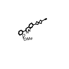 C#CC1CC2(C1)CC(c1ccc3cc(-c4ccccc4OCOC)nnc3c1)C2